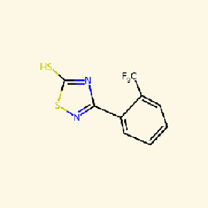 FC(F)(F)c1ccccc1-c1nsc(S)n1